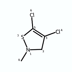 CN1CC(Cl)=C(Cl)S1